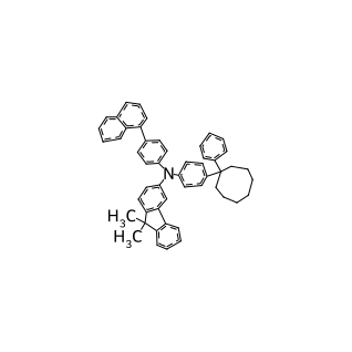 CC1(C)c2ccccc2-c2cc(N(c3ccc(-c4cccc5ccccc45)cc3)c3ccc(C4(c5ccccc5)CCCCCCC4)cc3)ccc21